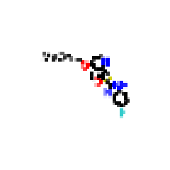 COCCCOc1ccnc(C[S+]([O-])c2nc3cc(F)ccc3[nH]2)c1C